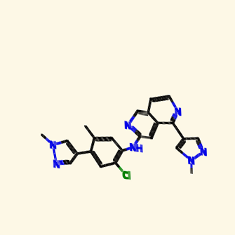 Cc1cc(Nc2cc3c(-c4cnn(C)c4)nccc3cn2)c(Cl)cc1-c1cnn(C)c1